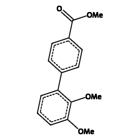 COC(=O)c1ccc(-c2cccc(OC)c2OC)cc1